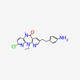 CCN1c2ncc(CCc3ccc(N)cc3)cc2C(=O)N(C)c2ccc(Cl)nc21